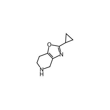 C1Cc2oc(C3CC3)nc2CN1